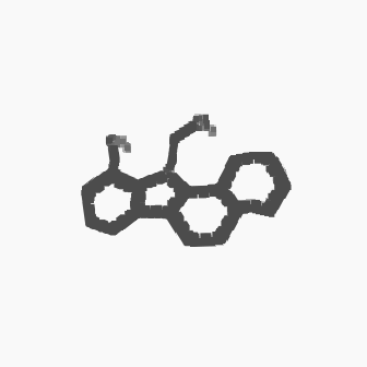 CCn1c2c(C)cccc2c2ccc3ccccc3c21